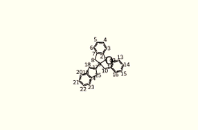 O=C1c2ccccc2CC1(Cc1ccccc1)C1=Cc2ccccc2C1